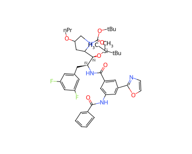 CCCOC1CC([C@@H](O[Si](C)(C)C(C)(C)C)[C@H](Cc2cc(F)cc(F)c2)NC(=O)c2cc(NC(=O)c3ccccc3)cc(-c3ncco3)c2)N(C(=O)OC(C)(C)C)C1